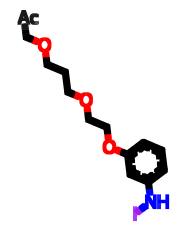 CC(=O)COCCCOCCOc1cccc(NI)c1